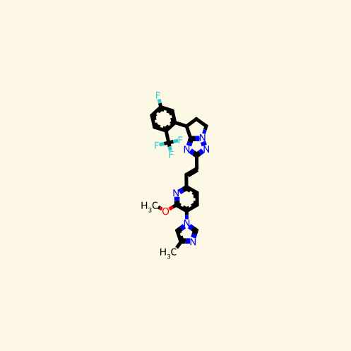 COc1nc(C=Cc2nc3n(n2)CCC3c2cc(F)ccc2C(F)(F)F)ccc1-n1cnc(C)c1